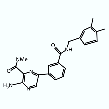 CNC(=O)c1nc(-c2cccc(C(=O)NCc3ccc(C)c(C)c3)c2)cnc1N